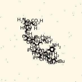 CC[C@H](C)[C@H](NC(=O)[C@@H](CCCNC(=N)N)NC(=O)[C@H](CC(C)C)NC(=O)[C@@H](NC(=O)[C@H](Cc1cccc(N)c1)NC(=O)[C@H](CC(C)(C)C)NC(=O)[C@H](N)CC(C)(C)C)C(O)C(C)C)C(=O)N[C@H](C(=O)NCC(=O)N[C@@H](CC(N)=O)C(=O)N[C@@H](CO)C(=O)O)[C@H](C)O